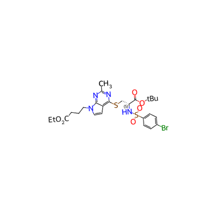 CCOC(=O)CCCn1ccc2c(SC[C@@H](NS(=O)(=O)c3ccc(Br)cc3)C(=O)OC(C)(C)C)nc(C)nc21